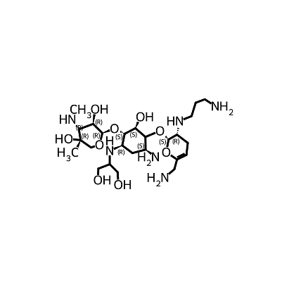 CN[C@@H]1[C@@H](O)[C@@H](O[C@H]2[C@H](NC(CO)CO)C[C@H](N)C(O[C@H]3OC(CN)=CC[C@H]3NCCCN)[C@@H]2O)OC[C@]1(C)O